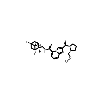 COC[C@@H]1CCCN1C(=O)c1cn2c(C(=O)NC[C@@H]3CC[C@H]4C[C@@H]3C4(C)C)cccc2n1